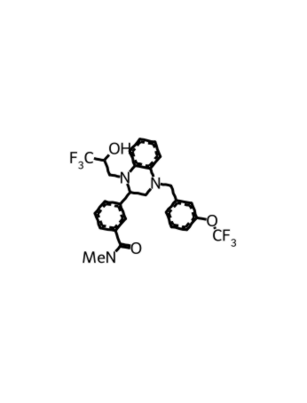 CNC(=O)c1cccc(C2CN(Cc3cccc(OC(F)(F)F)c3)c3ccccc3N2CC(O)C(F)(F)F)c1